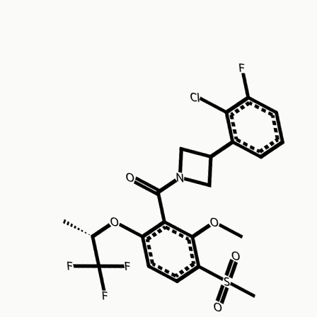 COc1c(S(C)(=O)=O)ccc(O[C@@H](C)C(F)(F)F)c1C(=O)N1CC(c2cccc(F)c2Cl)C1